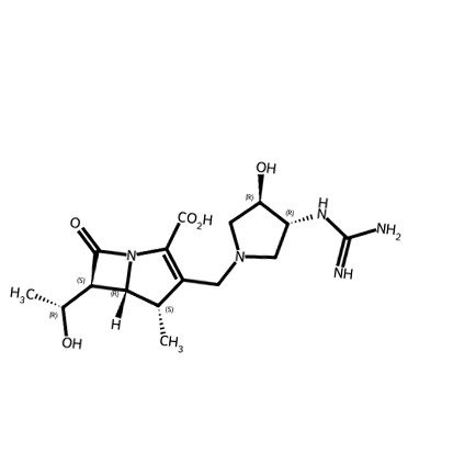 C[C@@H](O)[C@H]1C(=O)N2C(C(=O)O)=C(CN3C[C@@H](O)[C@H](NC(=N)N)C3)[C@H](C)[C@H]12